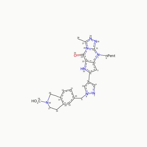 CCCCCn1c2cc(-c3cnn(Cc4ccc5c(c4)CCN(C(=O)O)C5)c3)[nH]c2c(=O)n2c(C)nnc12